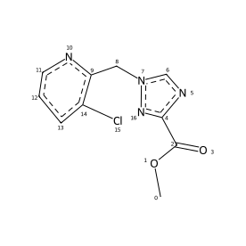 COC(=O)c1ncn(Cc2ncccc2Cl)n1